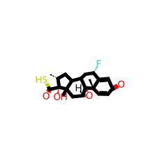 C[C@@H]1CC2C3C[C@H](F)C4=CC(=O)C=C[C@]4(C)[C@@]34O[C@H]4CC2(C)[C@@]1(O)C(=O)S